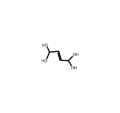 OC(O)/C=C/C(O)O